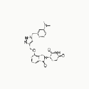 CN(C)c1cccc(Cn2cc(COc3cccc4c3CN(C3CCC(=O)NC3=O)C4=O)nn2)c1